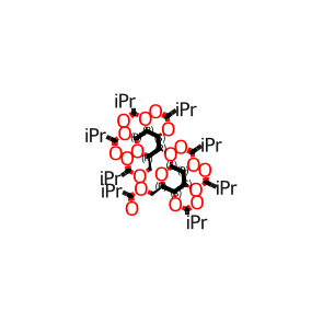 CC(C)C(=O)OC[C@H]1O[C@@H](O[C@H]2[C@H](OC(=O)C(C)C)[C@@H](OC(=O)C(C)C)[C@@H](OC(=O)C(C)C)O[C@@H]2COC(=O)C(C)C)[C@H](OC(=O)C(C)C)[C@@H](OC(=O)C(C)C)[C@H]1OC(=O)C(C)C